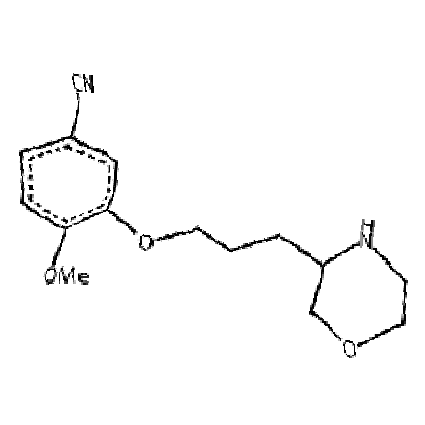 COc1ccc(C#N)cc1OCCCC1COCCN1